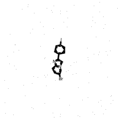 Brc1ccc2nc(-c3ccc(I)cc3)cn2c1